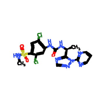 CNS(=O)(=O)c1cc(Cl)c(NC(=O)N[C@@H](C)c2ncnn2-c2ncccn2)cc1Cl